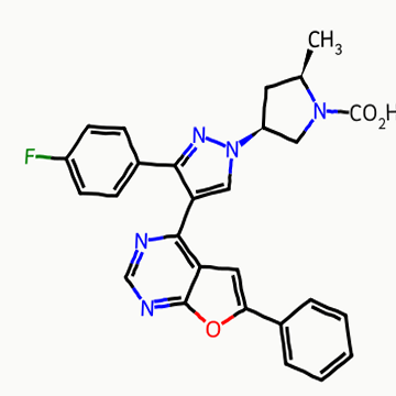 C[C@@H]1C[C@H](n2cc(-c3ncnc4oc(-c5ccccc5)cc34)c(-c3ccc(F)cc3)n2)CN1C(=O)O